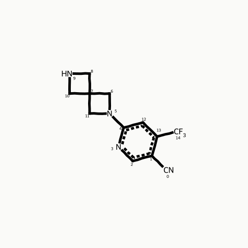 N#Cc1cnc(N2CC3(CNC3)C2)cc1C(F)(F)F